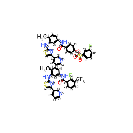 Cc1ccc(NC(=O)c2ccc(OS(=O)(=O)c3cccc(F)c3)cc2)cc1Nc1nc(-c2cccnc2)cs1.Cc1ccc(NC(=O)c2cccc(C(F)(F)F)c2F)cc1Nc1nc(-c2cccnc2)cs1